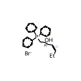 CC/C=C\C[C@@H](O)C[P+](c1ccccc1)(c1ccccc1)c1ccccc1.[Br-]